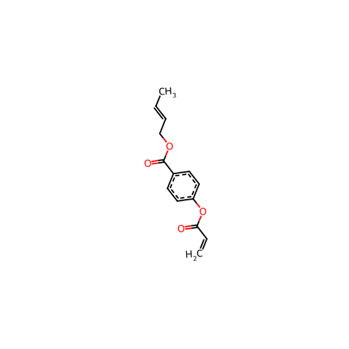 C=CC(=O)Oc1ccc(C(=O)OCC=CC)cc1